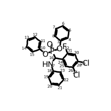 O=P(Oc1ccccc1)(Oc1ccccc1)C(Nc1ccccc1)c1cc(Cl)c(Cl)cc1F